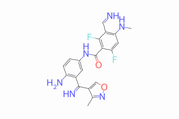 CNc1cc(F)c(C(=O)Nc2ccc(N)c(C(=N)c3conc3C)c2)c(F)c1C=N